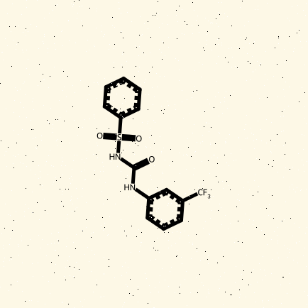 O=C(Nc1cccc(C(F)(F)F)c1)NS(=O)(=O)c1ccccc1